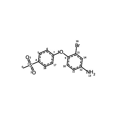 CS(=O)(=O)c1ccc(Oc2ccc(N)cc2Br)cc1